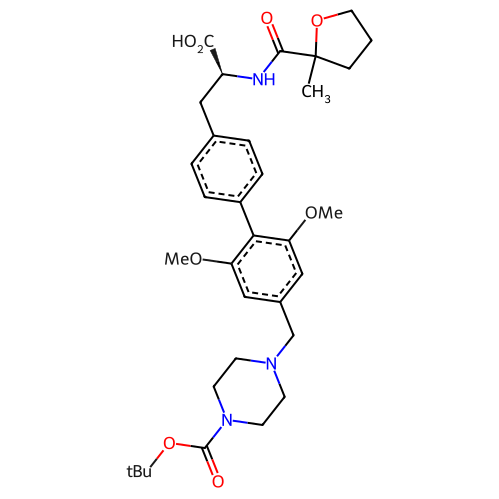 COc1cc(CN2CCN(C(=O)OC(C)(C)C)CC2)cc(OC)c1-c1ccc(C[C@H](NC(=O)C2(C)CCCO2)C(=O)O)cc1